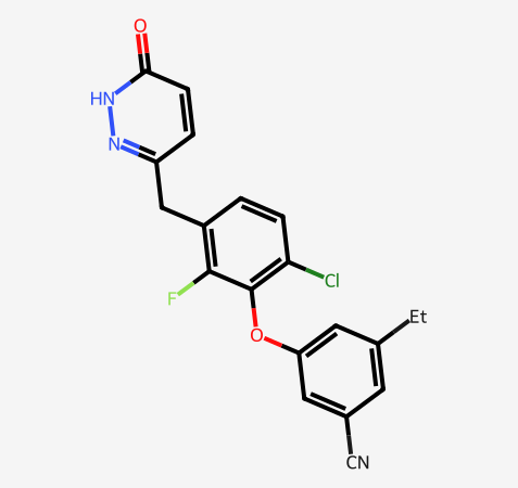 CCc1cc(C#N)cc(Oc2c(Cl)ccc(Cc3ccc(=O)[nH]n3)c2F)c1